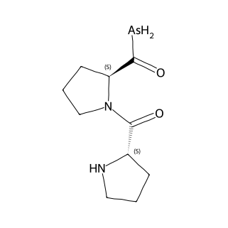 O=C([AsH2])[C@@H]1CCCN1C(=O)[C@@H]1CCCN1